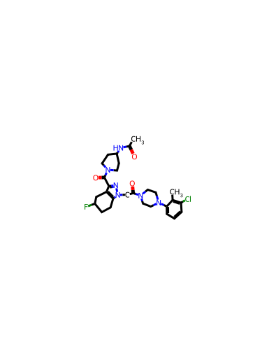 CC(=O)NC1CCN(C(=O)c2nn(CC(=O)N3CCN(c4cccc(Cl)c4C)CC3)c3c2CC(F)CC3)CC1